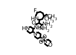 CCC1(C)CCC(F)CNC(C(C(=O)NC2CNCCC2N2CCC(S(=O)(=O)N3CCOCC3)CC2)C(N)N)C1